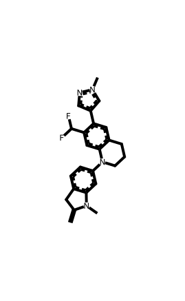 C=C1Cc2ccc(N3CCCc4cc(-c5cnn(C)c5)c(C(F)F)cc43)cc2N1C